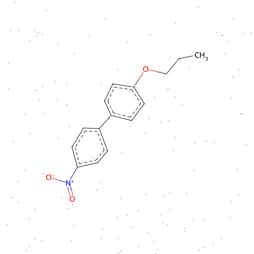 CCCOc1ccc(-c2ccc([N+](=O)[O-])cc2)cc1